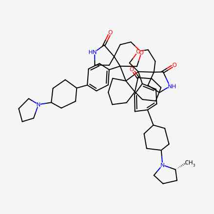 C[C@@H]1CCCN1C1CCC(c2ccc(C3(C4(C5(c6ccc(C7CCC(N8CCCC8)CC7)cc6)COCCC56CCNC6=O)CCCCC45CCCCC5=O)COCCC34CCNC4=O)cc2)CC1